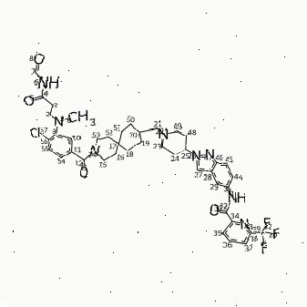 CN(CCC(=O)NC=O)c1cc(C(=O)N2CCC3(CCC(CN4CCC(n5cc6cc(NC(=O)c7cccc(C(F)(F)F)n7)ccc6n5)CC4)CC3)CC2)ccc1Cl